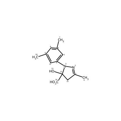 CC1=NN(c2cc(C)cc(C)c2)C(O)(C(=O)O)C1